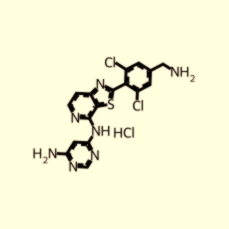 Cl.NCc1cc(Cl)c(-c2nc3ccnc(Nc4cc(N)ncn4)c3s2)c(Cl)c1